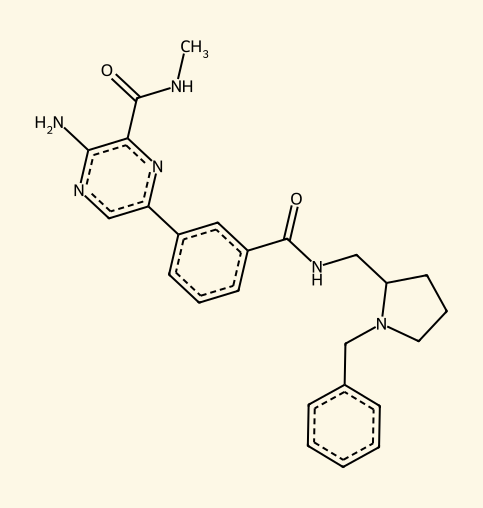 CNC(=O)c1nc(-c2cccc(C(=O)NCC3CCCN3Cc3ccccc3)c2)cnc1N